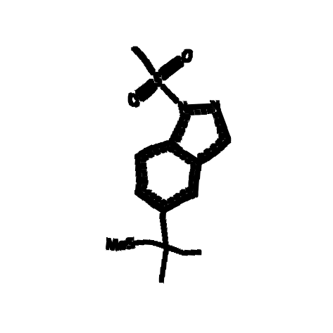 CSC(C)(C)c1ccc2c(cnn2S(C)(=O)=O)c1